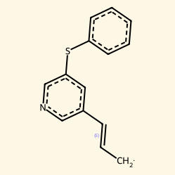 [CH2]/C=C/c1cncc(Sc2ccccc2)c1